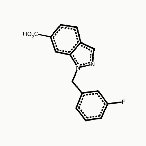 O=C(O)c1ccc2cnn(Cc3cccc(F)c3)c2c1